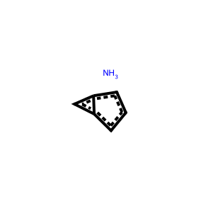 N.c1cc2cc-2c1